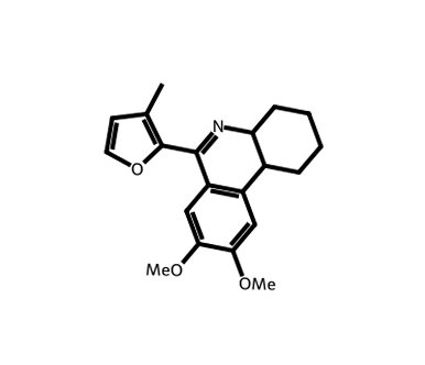 COc1cc2c(cc1OC)C1CCCCC1N=C2c1occc1C